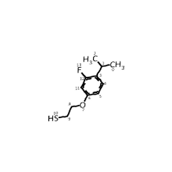 CC(C)c1ccc(OCCS)cc1F